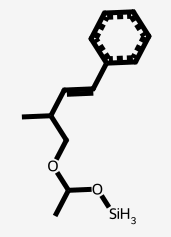 CC(C=Cc1ccccc1)COC(C)O[SiH3]